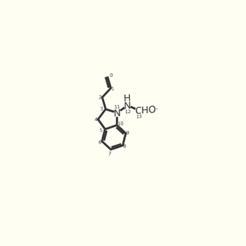 C=CCC1Cc2ccccc2N1N[C]=O